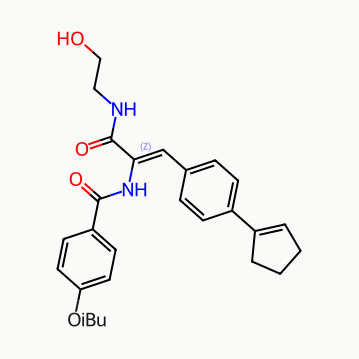 CC(C)COc1ccc(C(=O)N/C(=C\c2ccc(C3=CCCC3)cc2)C(=O)NCCO)cc1